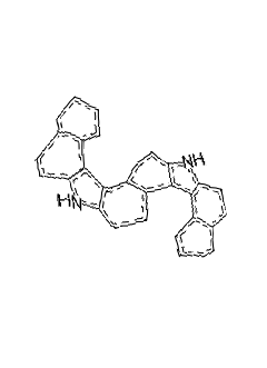 c1ccc2c(c1)ccc1[nH]c3ccc4c(ccc5[nH]c6ccc7ccccc7c6c54)c3c12